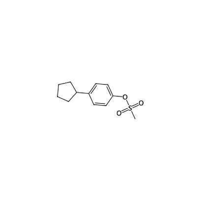 CS(=O)(=O)Oc1ccc(C2CCCC2)cc1